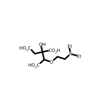 CCN(CC)CCOC(C(=O)O)C(O)(CC(=O)O)C(=O)O